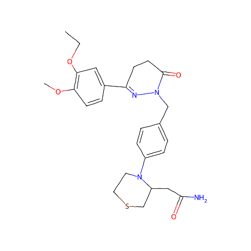 CCOc1cc(C2=NN(Cc3ccc(N4CCSCC4CC(N)=O)cc3)C(=O)CC2)ccc1OC